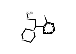 CCOC(=O)NCC(c1ccccc1F)N1CCNCC1